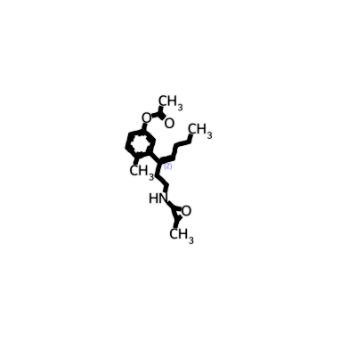 CCC/C=C(/CCNC1OC1C)c1cc(OC(C)=O)ccc1C